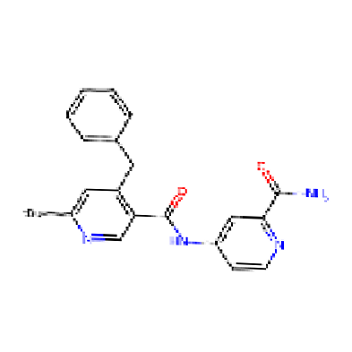 CC(C)(C)c1cc(Cc2ccccc2)c(C(=O)Nc2ccnc(C(N)=O)c2)cn1